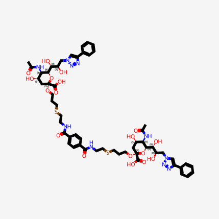 CC(=O)N[C@H]1[C@H]([C@H](O)[C@H](O)Cn2cc(-c3ccccc3)nn2)O[C@@](OCCCSCCNC(=O)c2ccc(C(=O)NCCSCCCO[C@]3(C(=O)O)C[C@H](O)[C@@H](NC(C)=O)[C@H]([C@H](O)[C@H](O)Cn4cc(-c5ccccc5)nn4)O3)cc2)(C(=O)O)C[C@@H]1O